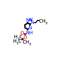 CCCn1nnc2ccc(NC(=O)OC(C)(C)C)nc21